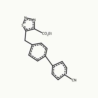 CCOC(=O)c1nnsc1Cc1ccc(-c2ccc(C#N)cc2)cc1